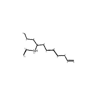 C=CCCCCCC(CCC)NCC